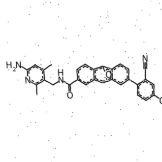 COc1ccc(-c2ccc3c(c2)c2oc3c3ccc(C(=O)NCc4c(C)cc(N)nc4C)cc32)c(C#N)c1